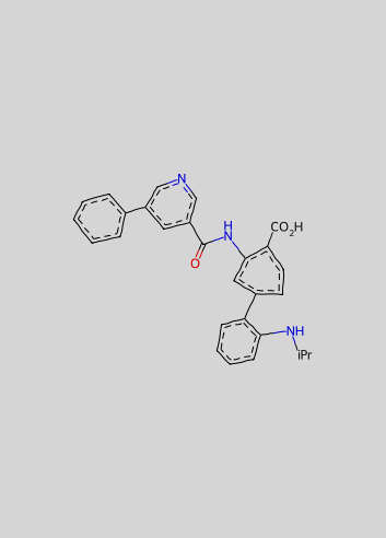 CC(C)Nc1ccccc1-c1ccc(C(=O)O)c(NC(=O)c2cncc(-c3ccccc3)c2)c1